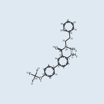 Nc1ccc(-c2ccc(OC(F)(F)F)cc2)cc1C(=O)N(N)CCc1ccccn1